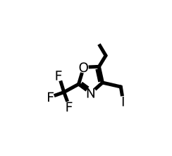 CCc1oc(C(F)(F)F)nc1CI